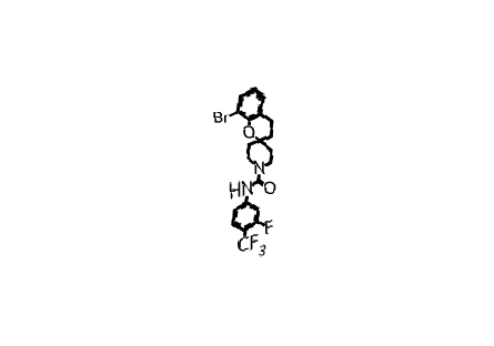 O=C(Nc1ccc(C(F)(F)F)c(F)c1)N1CCC2(CCc3cccc(Br)c3O2)CC1